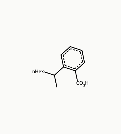 CCCCCCC(C)c1ccccc1C(=O)O